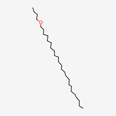 CCCCCCCCCCCCCCCCCCCCCCCCOCCCC